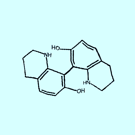 Oc1ccc2c(c1-c1c(O)ccc3c1NCCC3)NCCC2